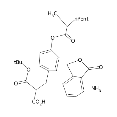 CCCCCC(C)C(=O)Oc1ccc(CC(C(=O)O)C(=O)OC(C)(C)C)cc1.N.O=C1OCc2ccccc21